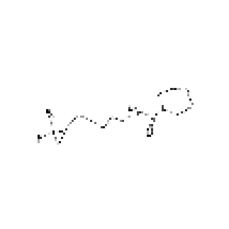 O=C(NCCCCC1CC1(F)Br)N1CCCCC1